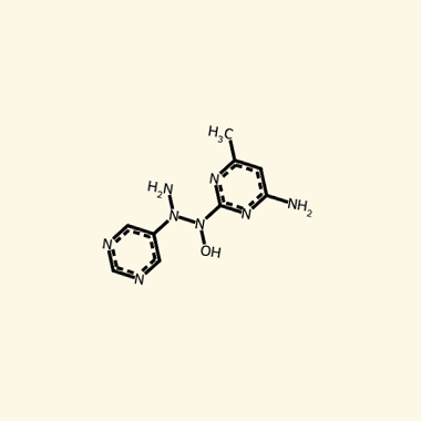 Cc1cc(N)nc(N(O)N(N)c2cncnc2)n1